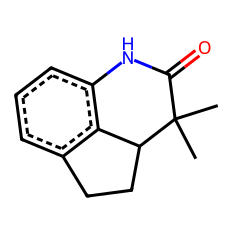 CC1(C)C(=O)Nc2cccc3c2C1CC3